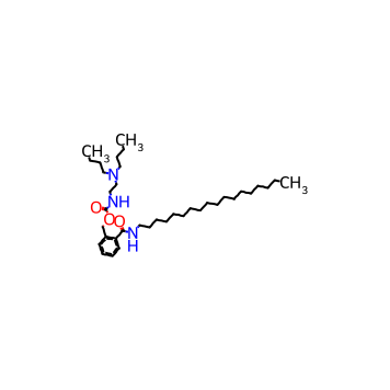 CCCCCCCCCCCCCCCCCCNC(=O)c1ccccc1COC(=O)NCCN(CCCC)CCCC